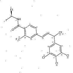 CC[C@H](I)NC(=O)c1ccc(/C=C/C(c2cc(Cl)c(Cl)c(Cl)c2)C(F)(F)F)cc1C(F)(F)F